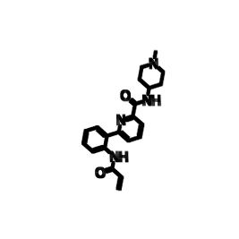 C=CC(=O)Nc1ccccc1-c1cccc(C(=O)NC2CCN(C)CC2)n1